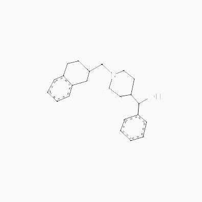 OC(c1ccccc1)C1CCN(CC2CCc3ccccc3C2)CC1